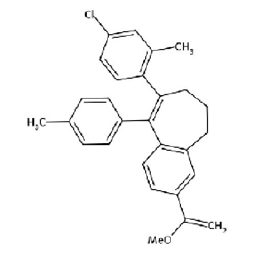 C=C(OC)c1ccc2c(c1)CCCC(c1ccc(Cl)cc1C)=C2c1ccc(C)cc1